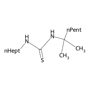 CCCCCCCNC(=S)NC(C)(C)CCCCC